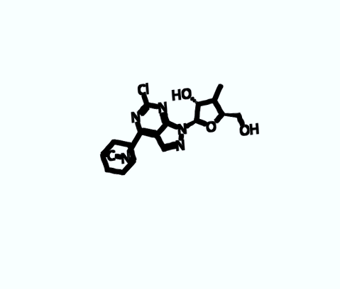 CC1[C@@H](O)[C@H](n2ncc3c(N4CC5CCC4CC5)nc(Cl)nc32)O[C@@H]1CO